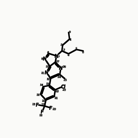 CCCC(CCC)n1cnc2nc(-c3ccc(C(F)(F)F)cc3Cl)c(C)nc21